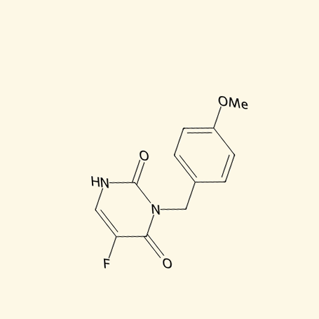 COc1ccc(Cn2c(=O)[nH]cc(F)c2=O)cc1